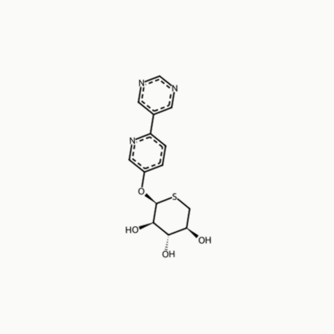 O[C@@H]1[C@@H](O)[C@@H](Oc2ccc(-c3cncnc3)nc2)SC[C@H]1O